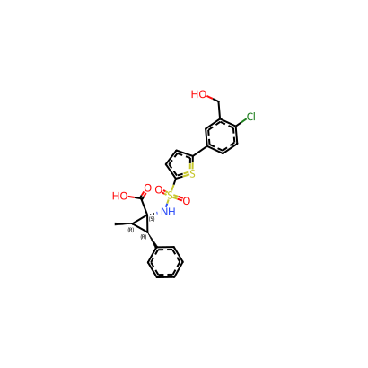 C[C@@H]1[C@H](c2ccccc2)[C@]1(NS(=O)(=O)c1ccc(-c2ccc(Cl)c(CO)c2)s1)C(=O)O